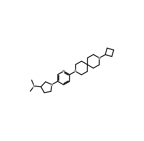 CN(C)C1CCN(c2ccc(N3CCC4(CC3)CCN(C3CCC3)CC4)nc2)C1